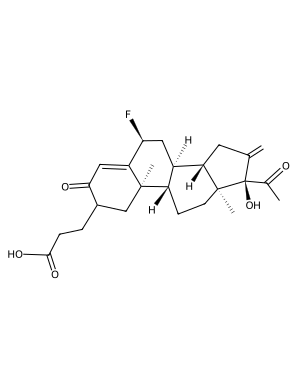 C=C1C[C@H]2[C@@H]3C[C@H](F)C4=CC(=O)C(CCC(=O)O)C[C@]4(C)[C@H]3CC[C@]2(C)[C@@]1(O)C(C)=O